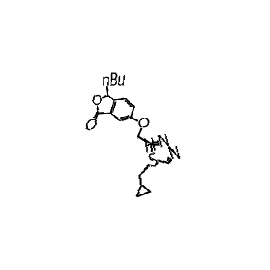 CCCCC1OC(=O)c2cc(OCC3=NN=C[SH]3CC3CC3)ccc21